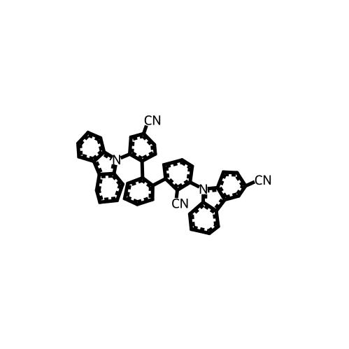 N#Cc1ccc(-c2ccccc2-c2cccc(-n3c4ccccc4c4cc(C#N)ccc43)c2C#N)c(-n2c3ccccc3c3ccccc32)c1